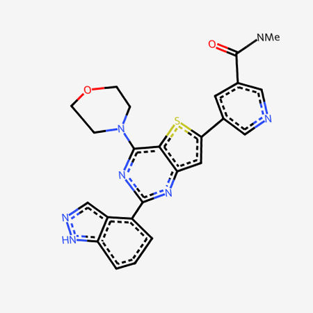 CNC(=O)c1cncc(-c2cc3nc(-c4cccc5[nH]ncc45)nc(N4CCOCC4)c3s2)c1